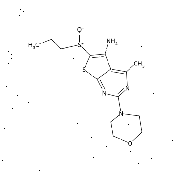 CCC[S+]([O-])c1sc2nc(N3CCOCC3)nc(C)c2c1N